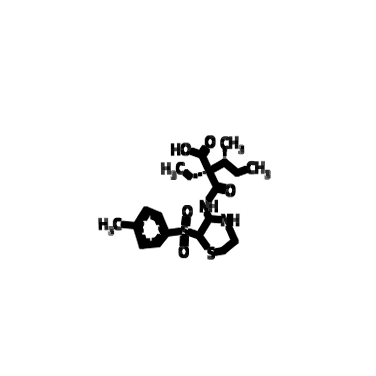 CC[C@@H](C)[C@](CC)(C(=O)O)C(=O)NC1NCCSC1S(=O)(=O)c1ccc(C)cc1